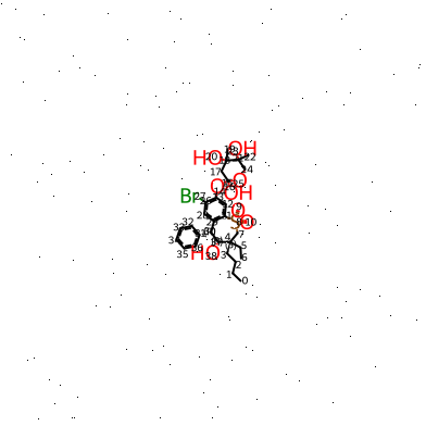 CCCC[C@]1(CC)CS(=O)(=O)c2cc(OC3(O)CC(C)(O)C(C)(O)CO3)c(Br)cc2[C@@H](c2ccccc2)[C@H]1O